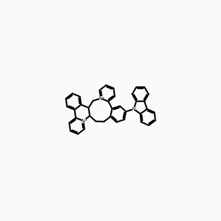 c1ccc2c(c1)-c1cccc[n+]1C1CCc3ccc(-n4c5ccccc5c5ccccc54)cc3-c3cccc[n+]3CC21